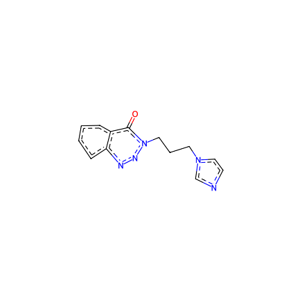 O=c1c2ccccc2nnn1CCCn1ccnc1